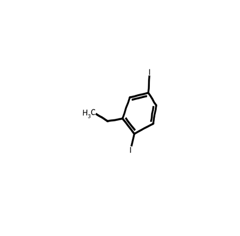 CCc1cc(I)ccc1I